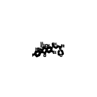 CCc1cc2c(cc1N(C)CCC(CC)N1CCOCC1)C(C)(C)c1[nH]c3cc(I)ccc3c1C2=O